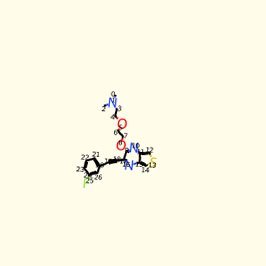 CN(C)CCOCCOc1nc2cscc2nc1C#Cc1cccc(F)c1